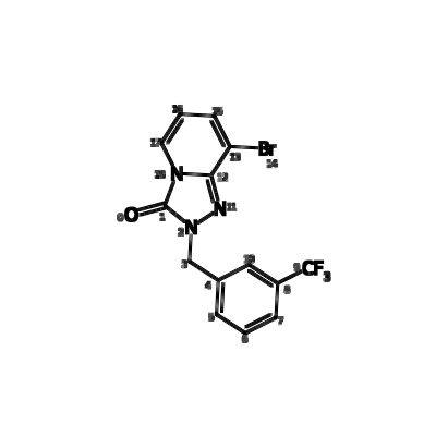 O=c1n(Cc2cccc(C(F)(F)F)c2)nc2c(Br)cccn12